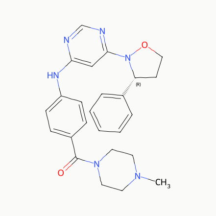 CN1CCN(C(=O)c2ccc(Nc3cc(N4OCC[C@@H]4c4ccccc4)ncn3)cc2)CC1